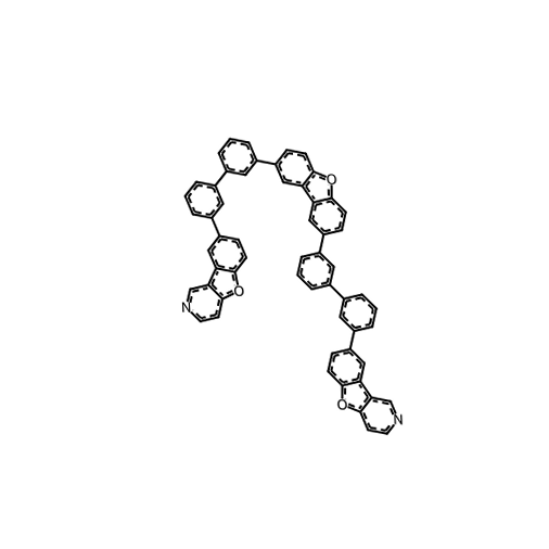 c1cc(-c2cccc(-c3ccc4oc5ccc(-c6cccc(-c7cccc(-c8ccc9oc%10ccncc%10c9c8)c7)c6)cc5c4c3)c2)cc(-c2ccc3oc4ccncc4c3c2)c1